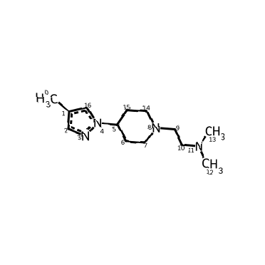 Cc1cnn(C2CCN(CCN(C)C)CC2)c1